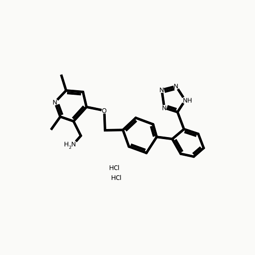 Cc1cc(OCc2ccc(-c3ccccc3-c3nnn[nH]3)cc2)c(CN)c(C)n1.Cl.Cl